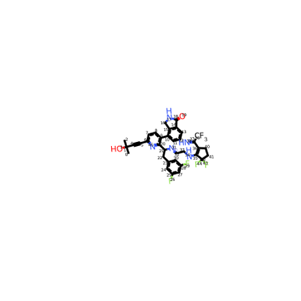 CC(C)(O)C#Cc1ccc(-c2cccc3c2CNC3=O)c(C(Cc2cc(F)cc(F)c2)/N=C/CNC2=C(C(=N)C(F)(F)F)CCC2(F)F)n1